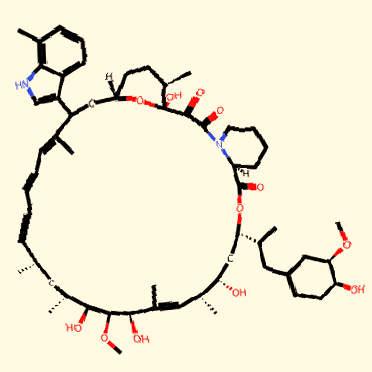 COC1[C@H](O)/C(C)=C/[C@@H](C)[C@@H](O)C[C@@H](C(C)CC2CCC(O)[C@H](OC)C2)OC(=O)[C@@H]2CCCCN2C(=O)C(=O)[C@]2(O)O[C@@H](CC[C@H]2C)CC(c2c[nH]c3c(C)cccc23)/C(C)=C/C=C/C=C/[C@@H](C)C[C@@H](C)[C@@H]1O